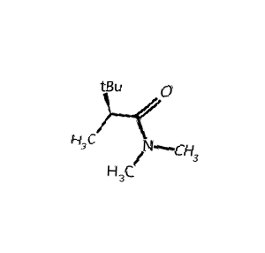 C[C@H](C(=O)N(C)C)C(C)(C)C